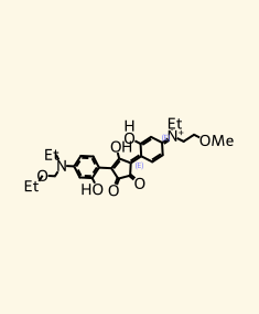 CCOCN(CC)c1ccc(C2=C(O)/C(=C3C=C/C(=[N+](/CC)CCOC)C=C/3O)C(=O)C2=O)c(O)c1